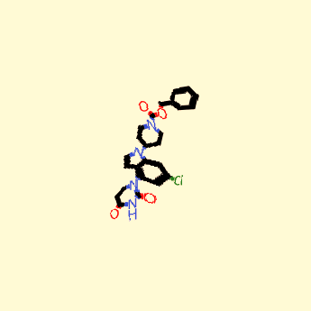 O=C1CCN(c2cc(Cl)cc3c2ccn3C2CCN(C(=O)OCc3ccccc3)CC2)C(=O)N1